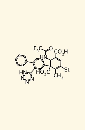 CCC1=C(C)C(C(=O)O)(c2ccc(-c3ccccc3)c(-c3nnn[nH]3)c2)C(NC(=O)C(F)(F)F)C(C(=O)O)=C1